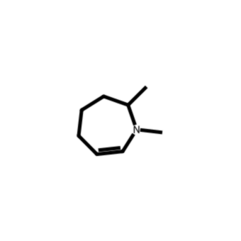 CC1CCCC=CN1C